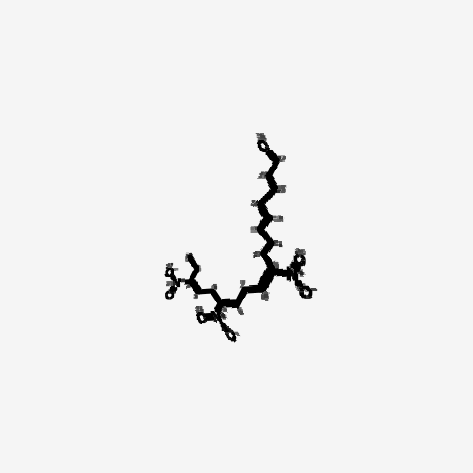 CC/C(=C\C/C(=C\C/C=C(\CCCCCCC[C]=O)[N+](=O)[O-])[N+](=O)[O-])[N+](=O)[O-]